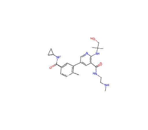 CNCCNC(=O)c1cc(-c2cc(C(=O)NC3CC3)ccc2C)cnc1NC(C)(C)CO